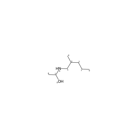 CCCC(C)CNC(C)O